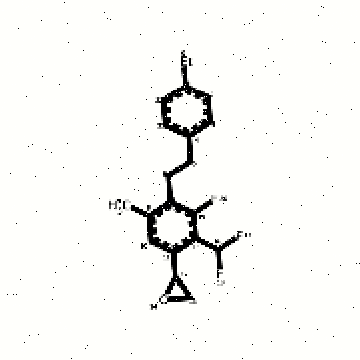 CCc1ccc(CCc2c(C)cc(C3CO3)c(C(F)F)c2F)cc1